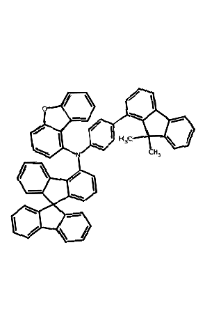 CC1(C)c2ccccc2-c2cccc(-c3ccc(N(c4cccc5c4-c4ccccc4C54c5ccccc5-c5ccccc54)c4cccc5oc6ccccc6c45)cc3)c21